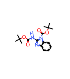 CC(C)(C)OC(=O)Nc1nc2ccccc2n1C(=O)OC(C)(C)C